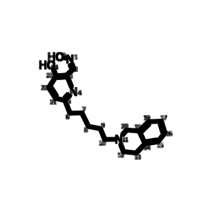 O/N=C\c1nc(CCCCCN2CCc3ccccc3C2)ccc1O